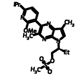 CC[C@@H](COS(C)(=O)=O)n1cc(C)c2nc(-c3ccc(C(C)C)nc3OC)c(C)nc21